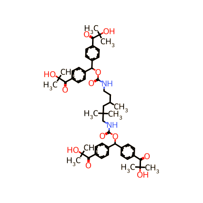 CC(CCNC(=O)OC(c1ccc(C(=O)C(C)(C)O)cc1)c1ccc(C(=O)C(C)(C)O)cc1)CC(C)(C)CNC(=O)OC(c1ccc(C(=O)C(C)(C)O)cc1)c1ccc(C(=O)C(C)(C)O)cc1